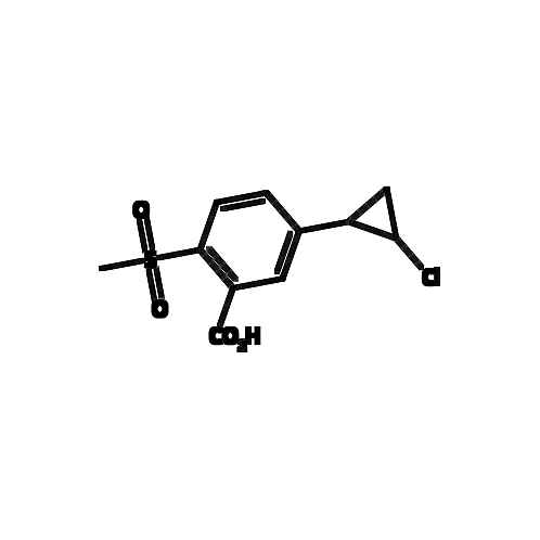 CS(=O)(=O)c1ccc(C2CC2Cl)cc1C(=O)O